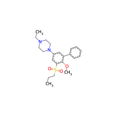 CCCS(=O)(=O)c1cc(N2CCN(CC)CC2)cc(-c2ccccc2)c1OC